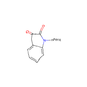 CCCCCN1C(=O)C(=O)c2ccccc21